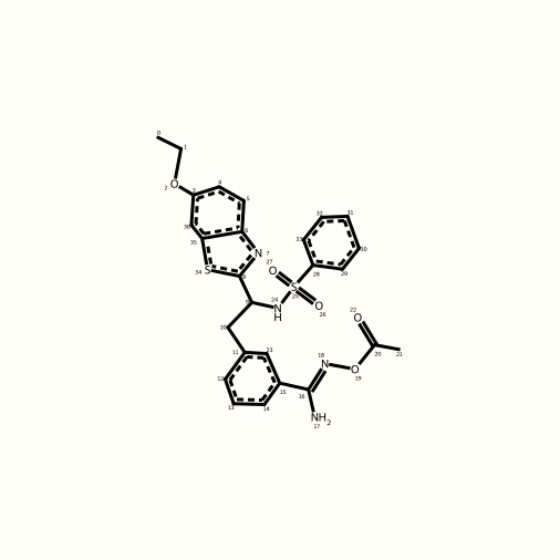 CCOc1ccc2nc(C(Cc3cccc(C(N)=NOC(C)=O)c3)NS(=O)(=O)c3ccccc3)sc2c1